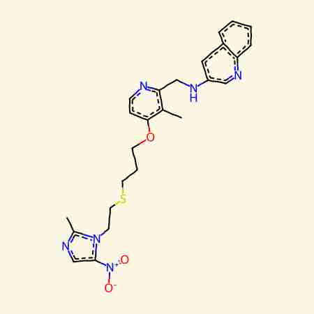 Cc1c(OCCCSCCn2c([N+](=O)[O-])cnc2C)ccnc1CNc1cnc2ccccc2c1